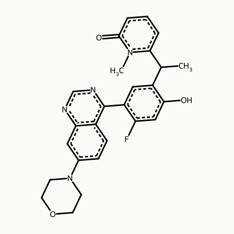 CC(c1cc(-c2ncnc3cc(N4CCOCC4)ccc23)c(F)cc1O)c1cccc(=O)n1C